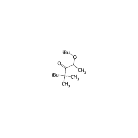 CCC(C)OC(C)C(=O)C(C)(C)C(C)CC